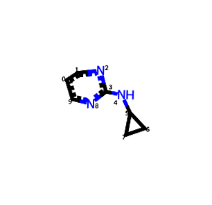 c1cnc(NC2CC2)nc1